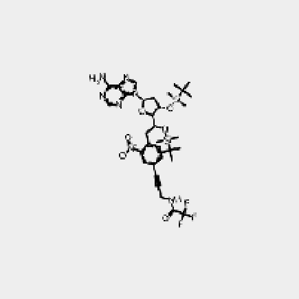 CC(C)(C)[Si](C)(C)OC(Cc1ccc(C#CCNC(=O)C(F)(F)F)cc1[N+](=O)[O-])[C@H]1O[C@@H](n2cnc3c(N)ncnc32)C[C@@H]1O[Si](C)(C)C(C)(C)C